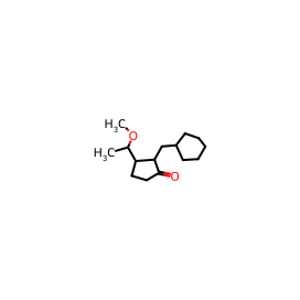 COC(C)C1CCC(=O)C1CC1CCCCC1